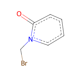 O=c1ccccn1CBr